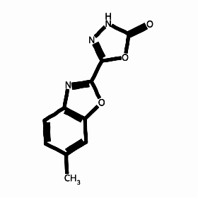 Cc1ccc2nc(-c3n[nH]c(=O)o3)oc2c1